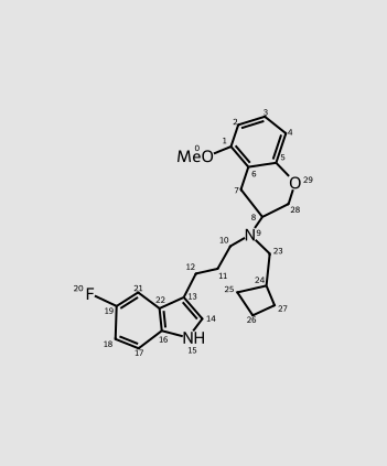 COc1cccc2c1CC(N(CCCc1c[nH]c3ccc(F)cc13)CC1CCC1)CO2